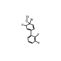 CCOC1(Br)C=CC(c2cccc(F)c2F)=CC1F